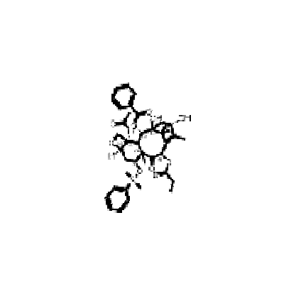 CCC(=O)O[C@H]1C(=O)[C@@]2(C)C([C@H](OC(=O)c3ccccc3)[C@]3(O)C[C@H](O)C(C)=C1C3(C)C)[C@]1(OC(C)=O)CO[C@@H]1C[C@@H]2O[Si](C)(C)c1ccccc1